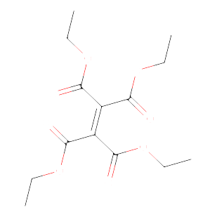 CCOC(=O)C(C(=O)OCC)=C(C(=O)OCC)C(=O)OCC